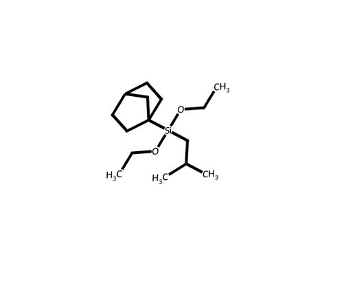 CCO[Si](CC(C)C)(OCC)C12CCC(CC1)C2